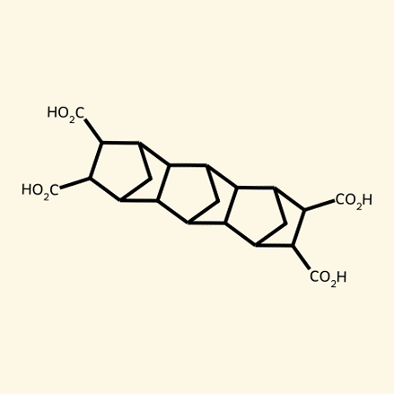 O=C(O)C1C2CC(C1C(=O)O)C1C3CC(C21)C1C2CC(C(C(=O)O)C2C(=O)O)C31